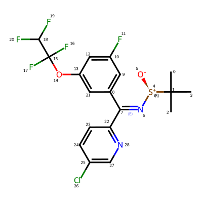 CC(C)(C)[S@+]([O-])/N=C(\c1cc(F)cc(OC(F)(F)C(F)F)c1)c1ccc(Cl)cn1